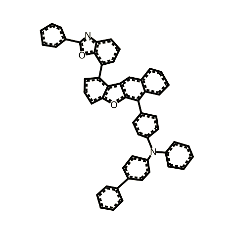 c1ccc(-c2ccc(N(c3ccccc3)c3ccc(-c4c5ccccc5cc5c4oc4cccc(-c6cccc7nc(-c8ccccc8)oc67)c45)cc3)cc2)cc1